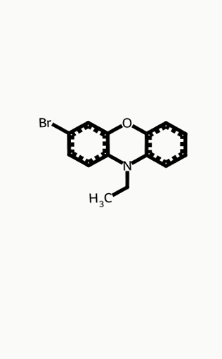 CCN1c2ccccc2Oc2cc(Br)ccc21